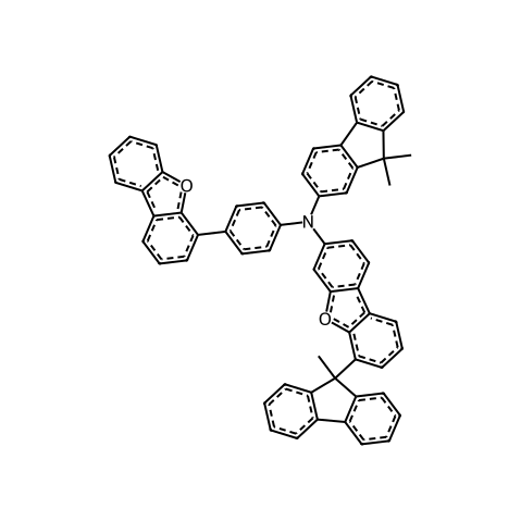 CC1(C)c2ccccc2-c2ccc(N(c3ccc(-c4cccc5c4oc4ccccc45)cc3)c3ccc4c(c3)oc3c(C5(C)c6ccccc6-c6ccccc65)cccc34)cc21